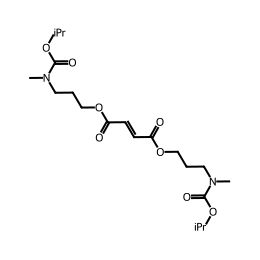 CC(C)OC(=O)N(C)CCCOC(=O)/C=C/C(=O)OCCCN(C)C(=O)OC(C)C